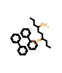 CCCC(P)CCC(P)CCC.c1ccc(-c2ccccc2)cc1.c1ccc(-c2ccccc2)cc1